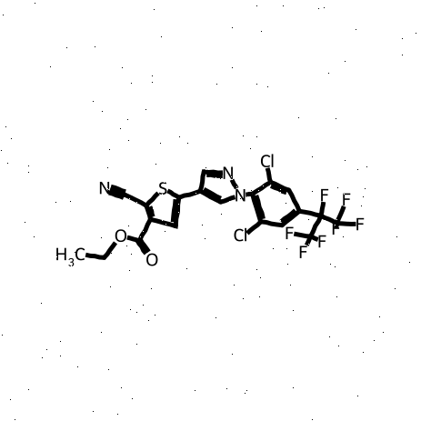 CCOC(=O)c1cc(-c2cnn(-c3c(Cl)cc(C(F)(C(F)(F)F)C(F)(F)F)cc3Cl)c2)sc1C#N